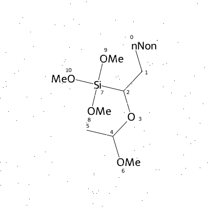 CCCCCCCCCCC(OC(C)OC)[Si](OC)(OC)OC